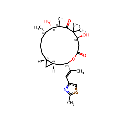 CC(=Cc1csc(C)n1)[C@@H]1C[C@@H]2C[C@@H]2CCC[C@H](C)[C@H](O)[C@@H](C)C(=O)C(C)(C)[C@@H](O)CC(=O)O1